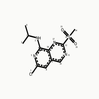 CC(C)Nc1nc(Cl)cc2cnc(S(C)(=O)=O)nc12